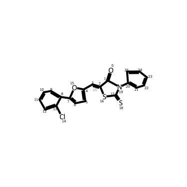 O=C1/C(=C/c2ccc(-c3ccccc3Cl)o2)SC(=S)N1c1ccccc1